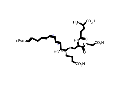 CCCCCC=CCC=C/C=C\C=C\[C@@H](O)[C@H](CCCC(=O)O)SCC(NC(=O)CCC(N)C(=O)O)C(=O)NCC(=O)O